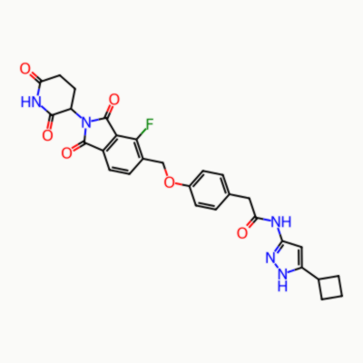 O=C1CCC(N2C(=O)c3ccc(COc4ccc(CC(=O)Nc5cc(C6CCC6)[nH]n5)cc4)c(F)c3C2=O)C(=O)N1